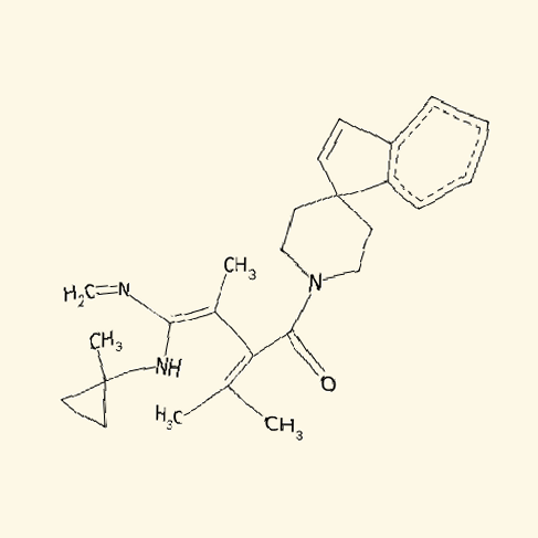 C=N/C(NC1(C)CC1)=C(\C)C(C(=O)N1CCC2(C=Cc3ccccc32)CC1)=C(C)C